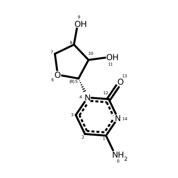 Nc1ccn([C@@H]2OCC(O)C2O)c(=O)n1